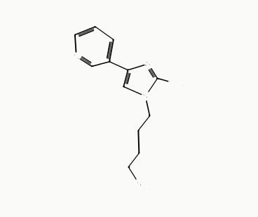 Cc1nc(-c2cccnc2)cn1CCCCN